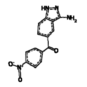 Nc1n[nH]c2ccc(C(=O)c3ccc([N+](=O)[O-])cc3)cc12